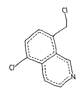 ClCc1ccc(Cl)c2ccncc12